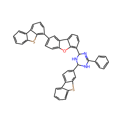 c1ccc(C2=NC(c3cccc4c3oc3ccc(-c5cccc6c5sc5ccccc56)cc34)NC(c3ccc4c(c3)sc3ccccc34)N2)cc1